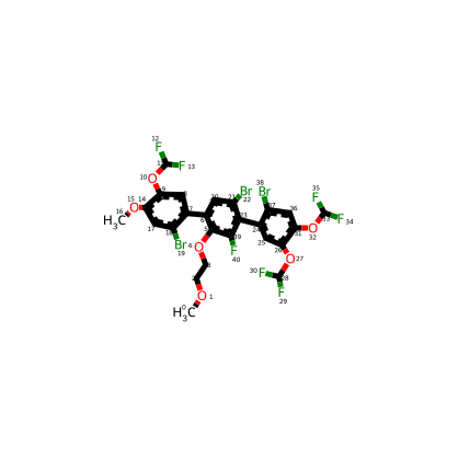 COCCOc1c(-c2cc(OC(F)F)c(OC)cc2Br)[c]c(Br)c(-c2cc(OC(F)F)c(OC(F)F)cc2Br)c1F